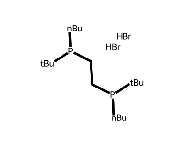 Br.Br.CCCCP(CCP(CCCC)C(C)(C)C)C(C)(C)C